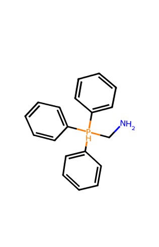 NC[PH](c1ccccc1)(c1ccccc1)c1ccccc1